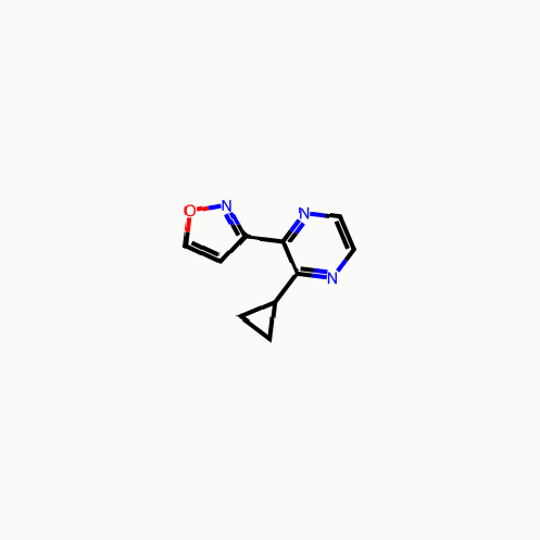 c1cnc(C2CC2)c(-c2ccon2)n1